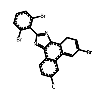 Clc1ccc2c3c(c4c(c2c1)=CC(Br)=CC4)N=C(c1c(Br)cccc1Br)N=3